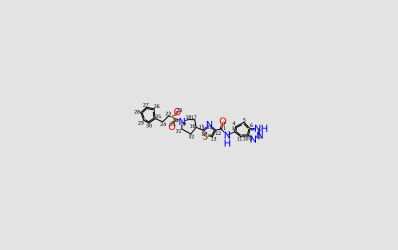 O=C(Nc1ccc2[nH]nnc2c1)c1csc(C2CCN(S(=O)(=O)CCc3ccccc3)CC2)n1